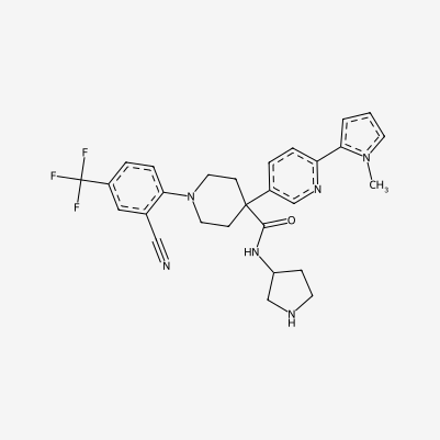 Cn1cccc1-c1ccc(C2(C(=O)NC3CCNC3)CCN(c3ccc(C(F)(F)F)cc3C#N)CC2)cn1